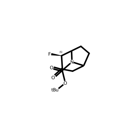 CC(C)(C)OC(=O)N1C2CCC1[C@H](F)C(=O)C2